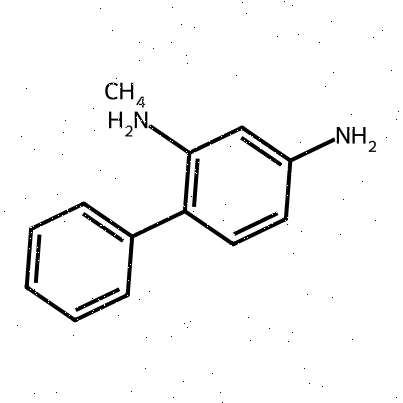 C.Nc1ccc(-c2ccccc2)c(N)c1